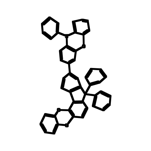 c1ccc(N2c3ccccc3Oc3cc(-c4ccc5c(c4)C(c4ccccc4)(c4ccccc4)c4ccc6c(c4-5)Oc4ccccc4O6)ccc32)cc1